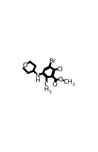 COC(=O)c1c(C)c(NC2CCOCC2)cc(Br)c1Cl